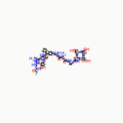 CCC(=O)NCCNC(=O)/N=C(/N)NCCC[C@@H](NC(=O)[C@@H](c1ccccc1)c1ccc(NCCCNC(=O)[C@H](N)CCC(=O)NCCN(C)CCNC(=O)CN2CCN(CC(=O)O)CCN(CC(=O)O)CCN(CC(=O)O)CC2)cc1)C(=O)NCc1ccc(O)cc1